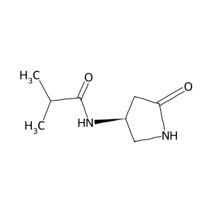 CC(C)C(=O)N[C@@H]1CNC(=O)C1